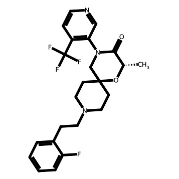 C[C@@H]1OC2(CCN(CCc3ccccc3F)CC2)CN(c2cnccc2C(F)(F)F)C1=O